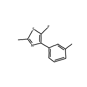 Cc1cccc(-c2nc(C)sc2F)c1